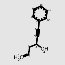 C=CCC(O)C#Cc1ccccc1